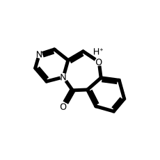 O=C1c2ccccc2OC=C2C=NC=CN12.[H+]